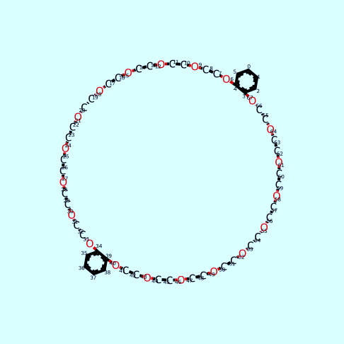 c1ccc2c(c1)OCCOCCOCCOCCOCCOCCOCCOCCOCCOc1ccccc1OCCOCCOCCOCCOCCOCCOCCOCCOCCO2